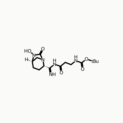 CC(C)(C)OC(=O)NCCC(=O)NC(=N)[C@@H]1CC[C@@H]2CN1C(=O)N2O